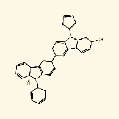 CC1C=CC2C3=CC(C4C=CC5=C(C4)C4C=CC=C[C@H]4N5C4C=CC=CC4)CC=C3N(C3CC=CC3)C2C1